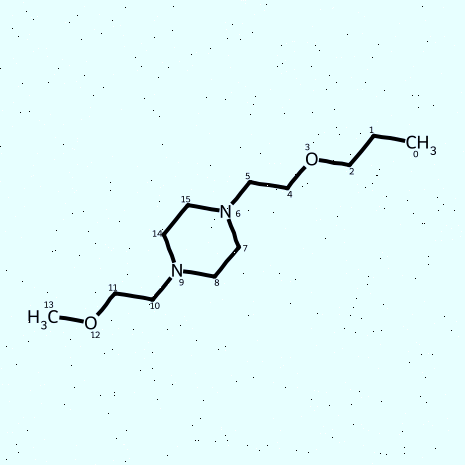 CCCOCCN1CCN(CCOC)CC1